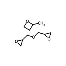 C(OCC1CO1)C1CO1.CC1CCO1